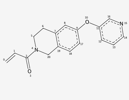 C=CC(=O)N1CCc2cc(Oc3cccnc3)ccc2C1